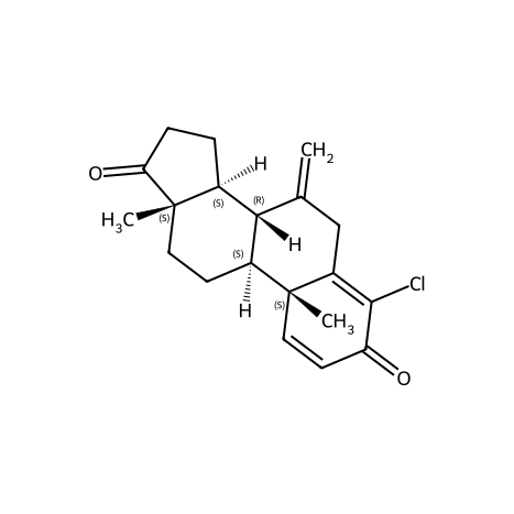 C=C1CC2=C(Cl)C(=O)C=C[C@]2(C)[C@H]2CC[C@]3(C)C(=O)CC[C@H]3[C@H]12